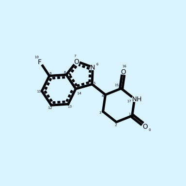 O=C1CCC(c2noc3c(F)cccc23)C(=O)N1